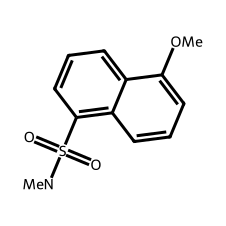 CNS(=O)(=O)c1cccc2c(OC)cccc12